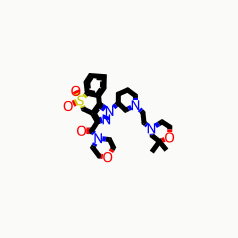 CC1(C)CN(CCN2CCCC(n3nc(C(=O)N4CCOCC4)c4c3-c3ccccc3S(=O)(=O)C4)C2)CCO1